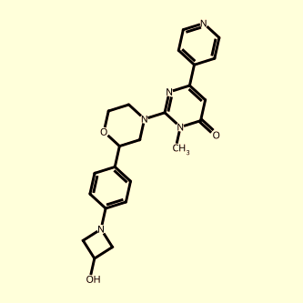 Cn1c(N2CCOC(c3ccc(N4CC(O)C4)cc3)C2)nc(-c2ccncc2)cc1=O